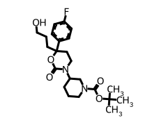 CC(C)(C)OC(=O)N1CCCC(N2CCC(CCCO)(c3ccc(F)cc3)OC2=O)C1